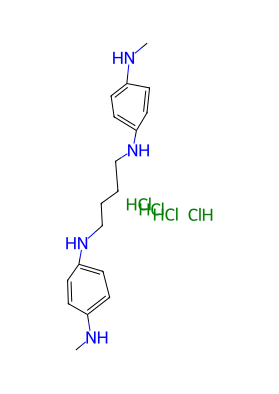 CNc1ccc(NCCCCNc2ccc(NC)cc2)cc1.Cl.Cl.Cl.Cl